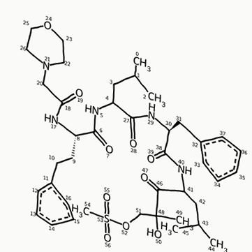 CC(C)CC(NC(=O)[C@H](CCc1ccccc1)NC(=O)CN1CCOCC1)C(=O)N[C@@H](Cc1ccccc1)C(=O)NC(CC(C)C)C(=O)C(C)(O)COS(C)(=O)=O